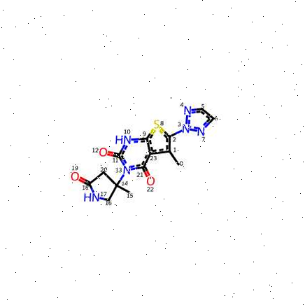 Cc1c(-n2nccn2)sc2[nH]c(=O)n(C3(C)CNC(=O)C3)c(=O)c12